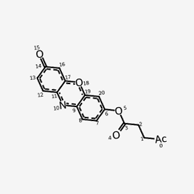 CC(=O)CCC(=O)Oc1ccc2nc3ccc(=O)cc-3oc2c1